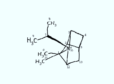 CC1C2C3CC2[C@@H](C(C)C)N(C)C1C3